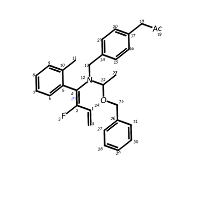 C=C/C(F)=C(/c1ccccc1C)N(Cc1ccc(CC(C)=O)cc1)C(C)OCc1ccccc1